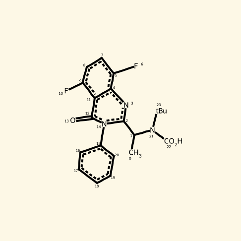 CC(c1nc2c(F)ccc(F)c2c(=O)n1-c1ccccc1)N(C(=O)O)C(C)(C)C